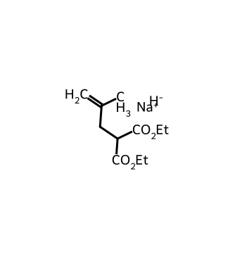 C=C(C)CC(C(=O)OCC)C(=O)OCC.[H-].[Na+]